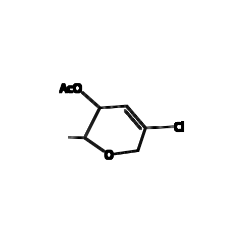 CC(=O)OC1C=C(Cl)COC1C